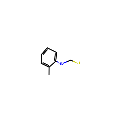 Cc1ccccc1NCS